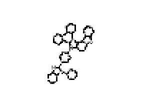 c1ccc(-n2c(-c3ccc(-n4c5ccc6sc7ccccc7c6c5c5c6ccccc6c6ccccc6c54)cc3)nc3ccccc32)cc1